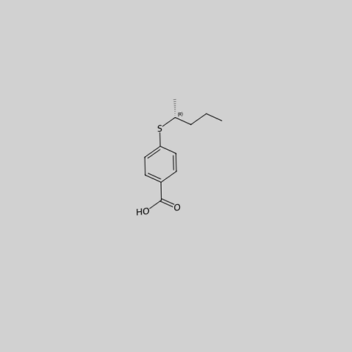 CCC[C@@H](C)Sc1ccc(C(=O)O)cc1